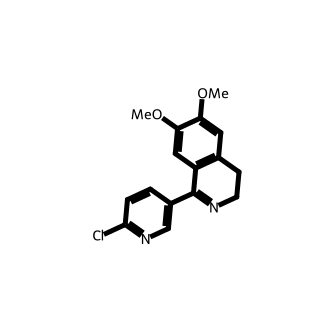 COc1cc2c(cc1OC)C(c1ccc(Cl)nc1)=NCC2